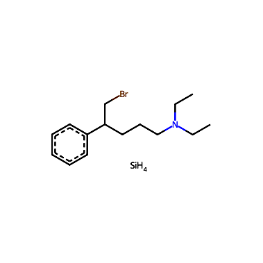 CCN(CC)CCCC(CBr)c1ccccc1.[SiH4]